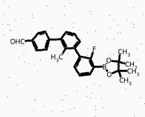 Cc1c(-c2ccc(C=O)cc2)cccc1-c1cccc(B2OC(C)(C)C(C)(C)O2)c1F